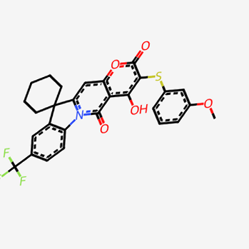 COc1cccc(Sc2c(O)c3c(=O)n4c(cc3oc2=O)C2(CCCCC2)c2cc(C(F)(F)F)ccc2-4)c1